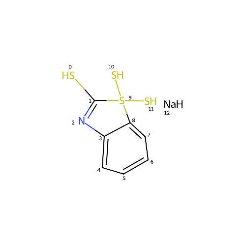 SC1=Nc2ccccc2S1(S)S.[NaH]